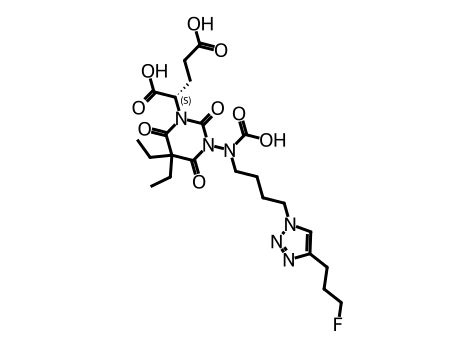 CCC1(CC)C(=O)N([C@@H](CCC(=O)O)C(=O)O)C(=O)N(N(CCCCn2cc(CCCF)nn2)C(=O)O)C1=O